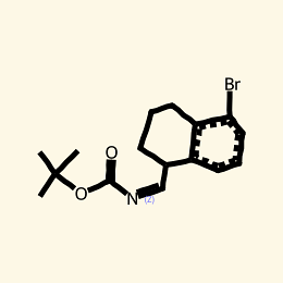 CC(C)(C)OC(=O)/N=C\C1CCCc2c(Br)cccc21